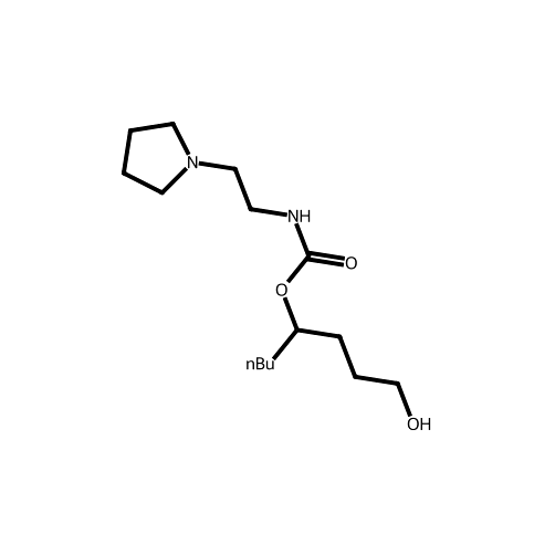 CCCCC(CCCO)OC(=O)NCCN1CCCC1